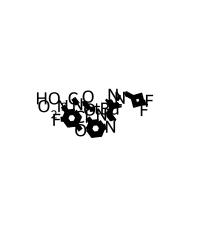 CC(C)(C)OC(=O)N(C(=O)O)c1cc(Oc2ccc3ncc(-c4cnn(CC5CC(F)(F)C5)c4)nc3c2Cl)cc(F)c1[N+](=O)[O-]